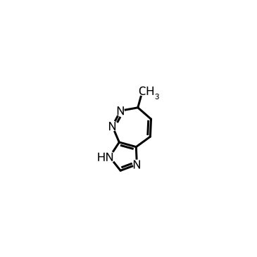 CC1C=Cc2nc[nH]c2N=N1